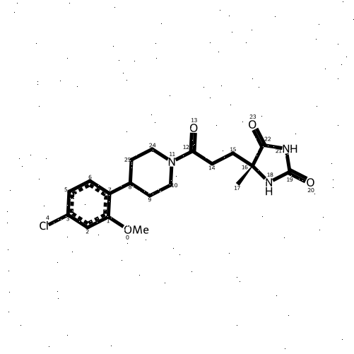 COc1cc(Cl)ccc1C1CCN(C(=O)CC[C@@]2(C)NC(=O)NC2=O)CC1